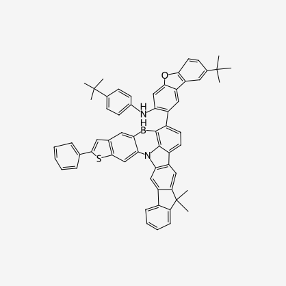 CC(C)(C)c1ccc(Nc2cc3oc4ccc(C(C)(C)C)cc4c3cc2-c2ccc3c4cc5c(cc4n4c3c2Bc2cc3cc(-c6ccccc6)sc3cc2-4)-c2ccccc2C5(C)C)cc1